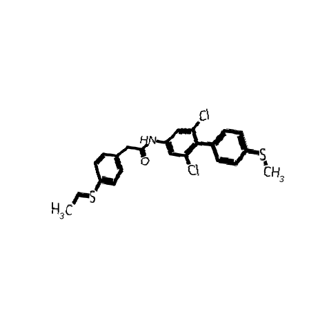 CCSc1ccc(CC(=O)Nc2cc(Cl)c(-c3ccc(SC)cc3)c(Cl)c2)cc1